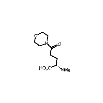 CN[C@@H](CCC(=O)N1CCOCC1)C(=O)O